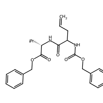 C=CCC(NC(=O)OCc1ccccc1)C(=O)N[C@H](C(=O)OCc1ccccc1)C(C)C